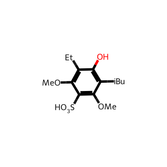 CCc1c(O)c(C(C)CC)c(OC)c(S(=O)(=O)O)c1OC